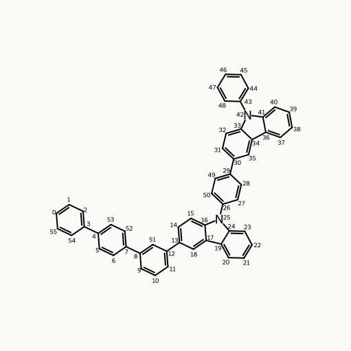 c1ccc(-c2ccc(-c3cccc(-c4ccc5c(c4)c4ccccc4n5-c4ccc(-c5ccc6c(c5)c5ccccc5n6-c5ccccc5)cc4)c3)cc2)cc1